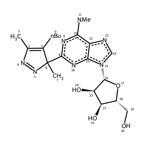 CCCCC1=C(C)N=NC1(C)c1nc(NC)c2ncn([C@@H]3O[C@H](CO)[C@@H](O)[C@H]3O)c2n1